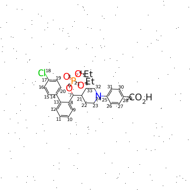 CCOP(=O)(OCC)OC(c1ccccc1-c1ccc(Cl)cc1)C1CCN(c2ccc(C(=O)O)cc2)CC1